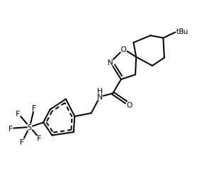 CC(C)(C)C1CCC2(CC1)CC(C(=O)NCc1ccc(S(F)(F)(F)(F)F)cc1)=NO2